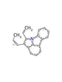 C=Cc1c(/C=C\C)c2cccc3c4ccccc4n1c23